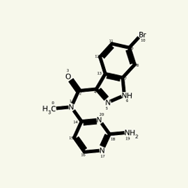 CN(C(=O)c1n[nH]c2cc(Br)ccc12)c1ccnc(N)n1